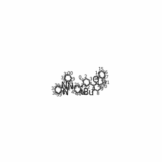 Cc1ccc(-c2c(C(C)(C)C)ccc3c2Oc2ccccc2C3(C)C)cc1-c1cc(-n2c3ccccc3n3c4ccccc4nc23)ccc1C